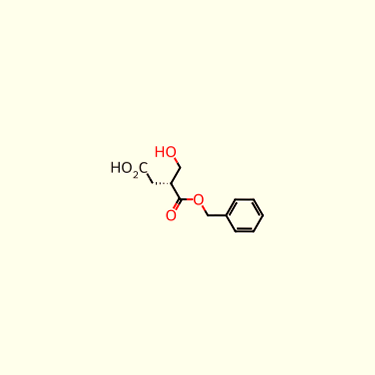 O=C(O)C[C@H](CO)C(=O)OCc1ccccc1